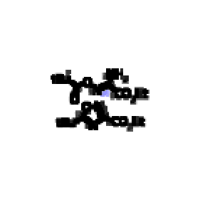 CCOC(=O)/C(N)=N/OC(=O)C(C)(C)C.CCOC(=O)c1noc(C(C)(C)C)n1